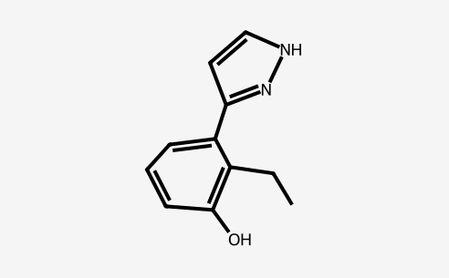 CCc1c(O)cccc1-c1cc[nH]n1